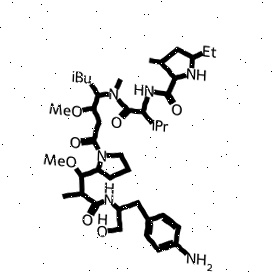 CCC1CC(C)C(C(=O)NC(C(=O)N(C)C(C(C)CC)C(CC(=O)N2CCCC2C(OC)C(C)C(=O)NC(CO)Cc2ccc(N)cc2)OC)C(C)C)N1